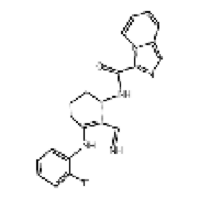 N=CC1=C(Nc2ccccc2F)CCCC1NC(=O)c1ncc2ccccn12